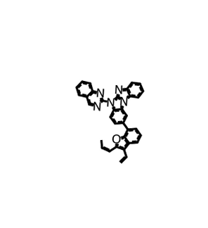 C=Cc1c(/C=C\C)oc2c(-c3ccc4c(c3)n3c5ccccc5nc3n4-c3ncc4ccccc4n3)cccc12